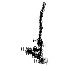 COCCOCCOCCOCCOCCOCCOCCOCCOCCOCCOCCOCCC(=O)N[C@H]1CO[C@H]2[C@@H]1OC[C@@H]2NC(=O)CCC[C@H](NC(=O)CCN1C(=O)C=CC1=O)C(=O)NCCC(=O)NCc1cc(COC(=O)NCC(=O)N[C@H]2CO[C@H]3[C@@H]2OC[C@@H]3N)ccc1O[C@@H]1O[C@H](C(=O)O)[C@@H](O)[C@H](O)[C@H]1O